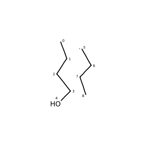 CCCCO.[CH2]CCC